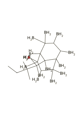 BC1C(B)C2(B)C(B)(B)C(B)C(B)(B)C(B)(C1(B)B)C2(B)C(B)(B)C(C)(C)CC